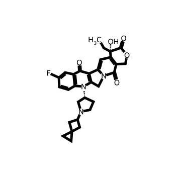 CC[C@@]1(O)C(=O)OCc2c1cc1n(c2=O)Cc2c-1c(=O)c1cc(F)ccc1n2[C@@H]1CCN(C2CC3(CC3)C2)C1